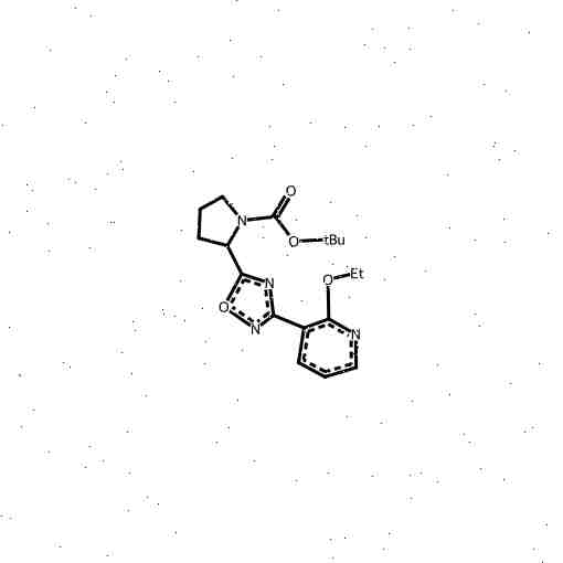 CCOc1ncccc1-c1noc(C2CCCN2C(=O)OC(C)(C)C)n1